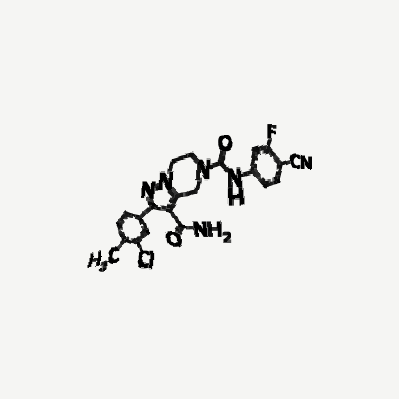 Cc1ccc(-c2nn3c(c2C(N)=O)CN(C(=O)Nc2ccc(C#N)c(F)c2)CC3)cc1Cl